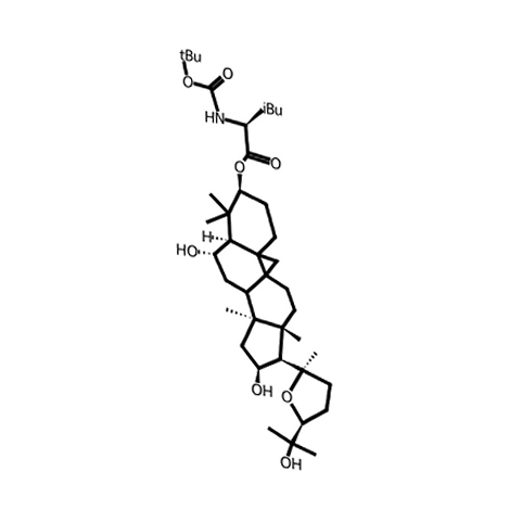 CCC(C)[C@H](NC(=O)OC(C)(C)C)C(=O)O[C@H]1CCC23CC24CC[C@]2(C)[C@@H]([C@@]5(C)CC[C@@H](C(C)(C)O)O5)[C@@H](O)C[C@@]2(C)C4C[C@H](O)[C@H]3C1(C)C